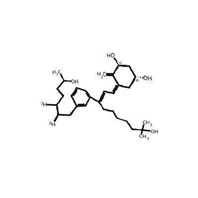 [2H]C(CCC(C)O)C([2H])Cc1cccc(C(=CC=C2C[C@@H](O)C[C@H](O)C2=C)CCCCCC(C)(C)O)c1